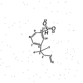 C=CCC(C)(C)c1cccc([SH](=O)=O)c1